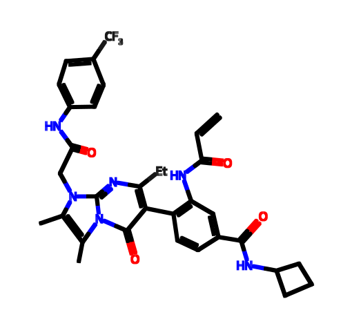 C=CC(=O)Nc1cc(C(=O)NC2CCC2)ccc1-c1c(CC)nc2n(CC(=O)Nc3ccc(C(F)(F)F)cc3)c(C)c(C)n2c1=O